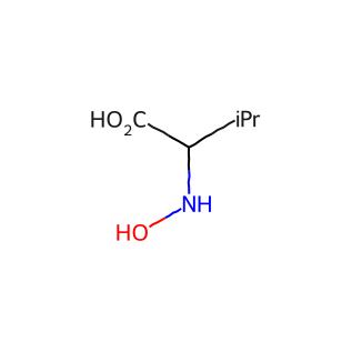 CC(C)C(NO)C(=O)O